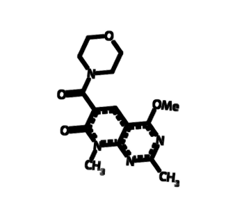 COc1nc(C)nc2c1cc(C(=O)N1CCOCC1)c(=O)n2C